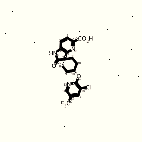 O=C(O)c1ccc2c(n1)[C@]1(CC[C@@H](Oc3ncc(C(F)(F)F)cc3Cl)CC1)C(=O)N2